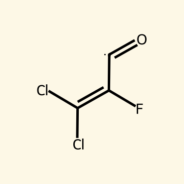 O=[C]C(F)=C(Cl)Cl